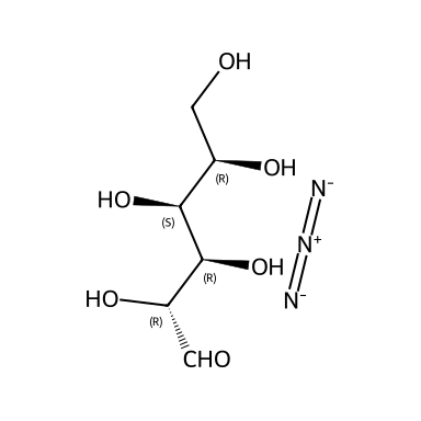 O=C[C@H](O)[C@H](O)[C@@H](O)[C@H](O)CO.[N-]=[N+]=[N-]